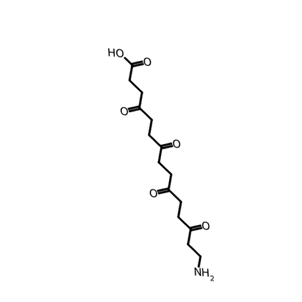 NCCC(=O)CCC(=O)CCC(=O)CCC(=O)CCC(=O)O